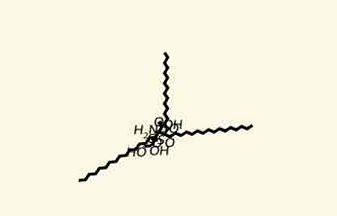 CCCCCCCCCCCCCCCC(=O)C(SC(=O)C(O)CO)(C(=O)CCCCCCCCCCCCCCC)[C@](N)(C(=O)O)C(=O)CCCCCCCCCCCCCCC